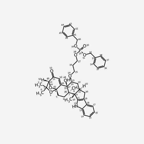 CC1(C)O[C@@]23CC[C@]4(C)[C@@]5(C)c6[nH]c7ccccc7c6C[C@@H]5C[C@H](OCCCOP(=O)(OCc5ccccc5)OCc5ccccc5)[C@@]4(O)C2=CC(=O)[C@@H]1O3